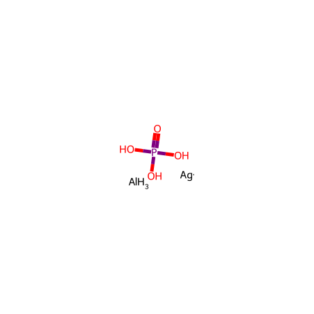 O=P(O)(O)O.[Ag].[AlH3]